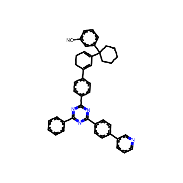 N#Cc1cccc(C2(C3=CCCC(c4ccc(-c5nc(-c6ccccc6)nc(-c6ccc(-c7cccnc7)cc6)n5)cc4)=C3)CCCCC2)c1